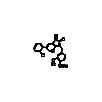 CCOc1cc(Cn2c(=O)[nH]c3cc(-c4ccccc4Cl)cnc32)ccc1OC